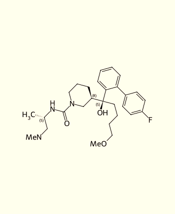 CNC[C@H](C)NC(=O)N1CCC[C@@H]([C@@](O)(CCCCOC)c2ccccc2-c2ccc(F)cc2)C1